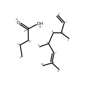 C=CC(C)CC(C)C=C(C)C.CCCC(=O)O